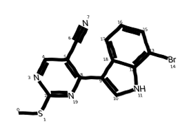 CSc1ncc(C#N)c(-c2c[nH]c3c(Br)cccc23)n1